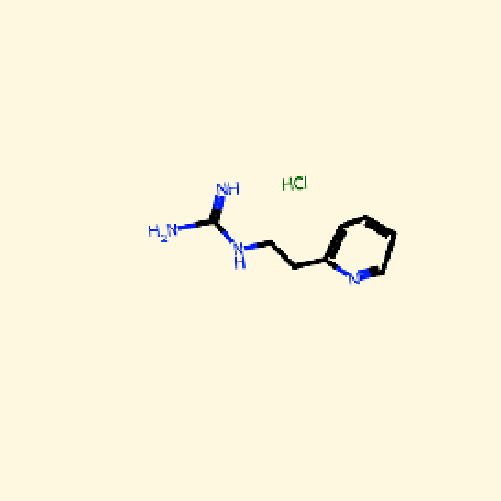 Cl.N=C(N)NCCc1ccccn1